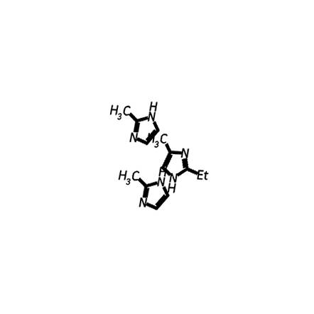 CCc1nc(C)c[nH]1.Cc1ncc[nH]1.Cc1ncc[nH]1